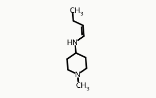 CC/C=C\NC1CCN(C)CC1